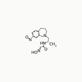 C[C@@H](CN1CCCc2ccc(N=O)cc2C1)NC(=O)/C=N/O